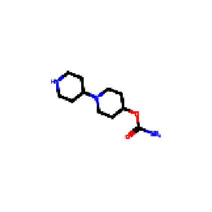 NC(=O)OC1CCN(C2CCNCC2)CC1